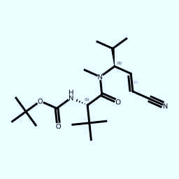 CC(C)[C@@H](/C=C/C#N)N(C)C(=O)[C@@H](NC(=O)OC(C)(C)C)C(C)(C)C